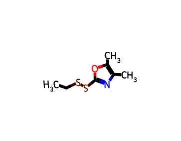 CCSSc1nc(C)c(C)o1